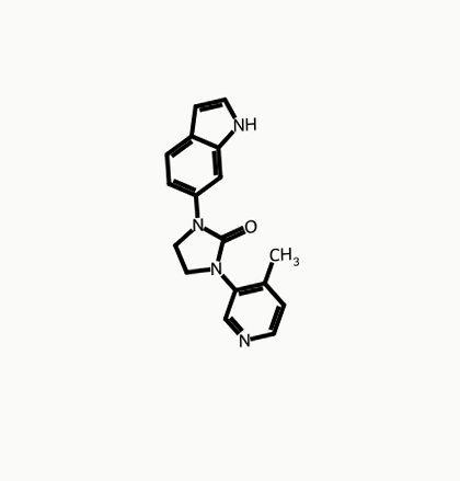 Cc1ccncc1N1CCN(c2ccc3cc[nH]c3c2)C1=O